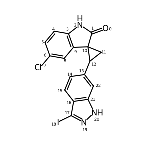 O=C1Nc2ccc(Cl)cc2C12CC2c1ccc2c(I)n[nH]c2c1